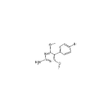 COc1nc(N)nc(OC)c1-c1ccc(Br)cc1